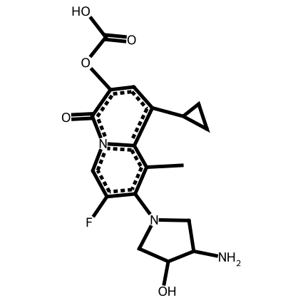 Cc1c(N2CC(N)C(O)C2)c(F)cn2c(=O)c(OC(=O)O)cc(C3CC3)c12